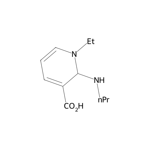 CCCNC1C(C(=O)O)=CC=CN1CC